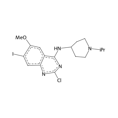 COc1cc2c(NC3CCN(C(C)C)CC3)nc(Cl)nc2cc1I